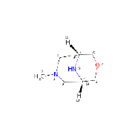 CN1C[C@H]2COC[C@@H](C1)N2